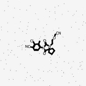 Cc1c(N2C(=O)N(CCOCC#N)C3(CCCC3)C2=O)ccc(C#N)c1Cl